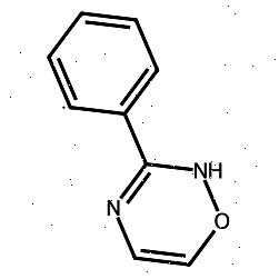 [c]1ccccc1C1=NC=CON1